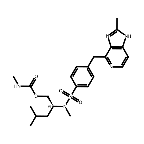 CNC(=O)OC[C@H](CC(C)C)N(C)S(=O)(=O)c1ccc(Cc2nccc3[nH]c(C)nc23)cc1